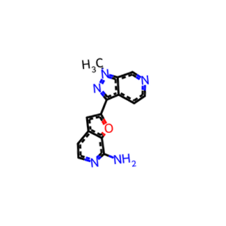 Cn1nc(-c2cc3ccnc(N)c3o2)c2ccncc21